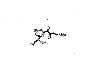 CSCCC(=O)C(=O)[C@H](CC(C)C)NC(=O)[C@@H](N)CC(C)C